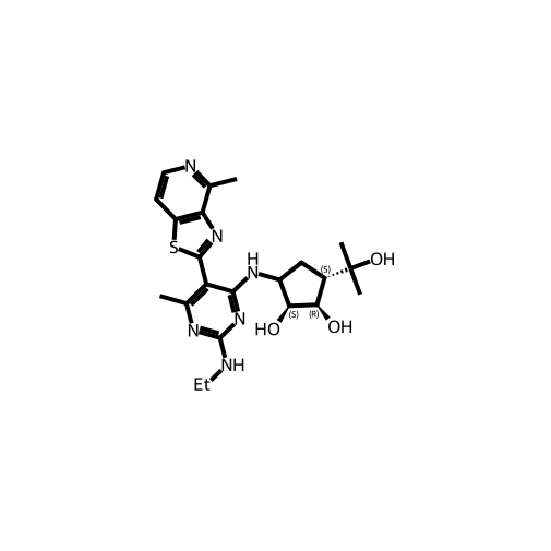 CCNc1nc(C)c(-c2nc3c(C)nccc3s2)c(NC2C[C@H](C(C)(C)O)[C@@H](O)[C@H]2O)n1